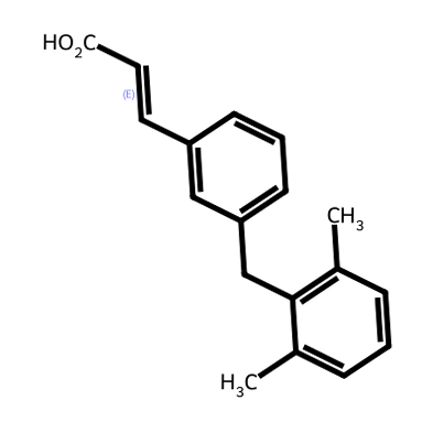 Cc1cccc(C)c1Cc1cccc(/C=C/C(=O)O)c1